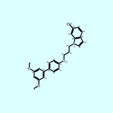 COc1cc(OC)cc(-c2ccc(OCCCn3ccc4ccc(Cl)cc43)cc2)c1